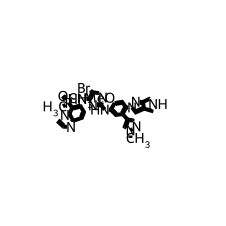 COc1cc(-n2cc3c(n2)CNC3)c(-c2cnn(C)c2)cc1Nc1ncc(Br)c(Nc2ccc3nccnc3c2P(C)(C)=O)n1